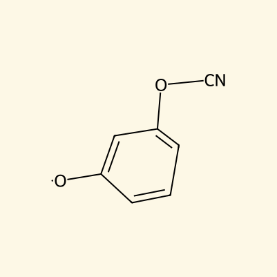 N#COc1cccc([O])c1